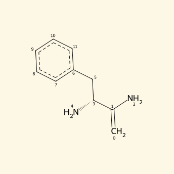 C=C(N)[C@H](N)Cc1ccccc1